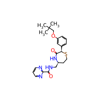 CC(C)(C)COc1cccc([C@H]2SCC[C@@H](CNC(=O)c3ncccn3)NC2=O)c1